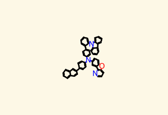 c1ccc(-n2c3ccccc3c3ccccc32)c(-c2ccc(N(c3ccc(-c4ccc5ccccc5c4)cc3)c3ccc4oc5cccnc5c4c3)cc2)c1